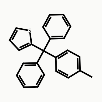 Cc1ccc(C(c2ccccc2)(c2ccccc2)c2cccs2)cc1